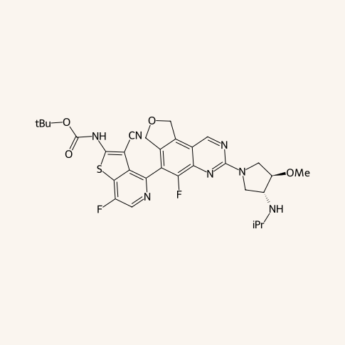 CO[C@@H]1CN(c2ncc3c4c(c(-c5ncc(F)c6sc(NC(=O)OC(C)(C)C)c(C#N)c56)c(F)c3n2)COC4)C[C@H]1NC(C)C